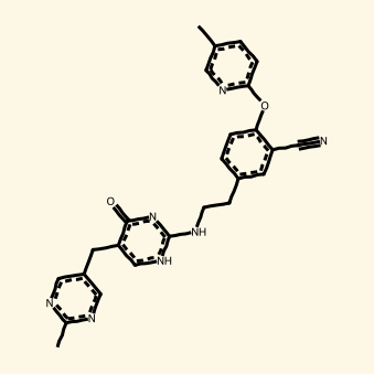 Cc1ccc(Oc2ccc(CCNc3nc(=O)c(Cc4cnc(C)nc4)c[nH]3)cc2C#N)nc1